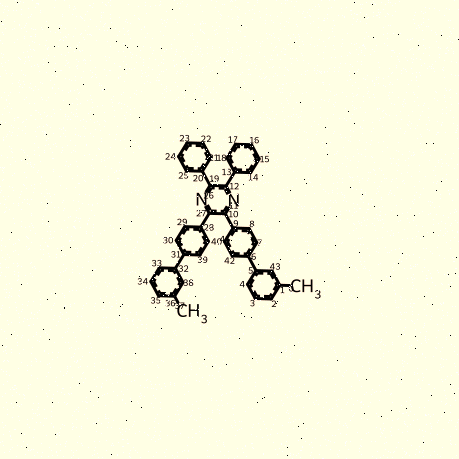 Cc1cccc(-c2ccc(-c3nc(-c4ccccc4)c(-c4ccccc4)nc3-c3ccc(-c4cccc(C)c4)cc3)cc2)c1